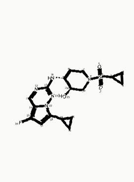 O=S(=O)(C1CC1)N1CC[C@@H](Nc2ncc3c(F)cc(C4CC4)n3n2)[C@H](O)C1